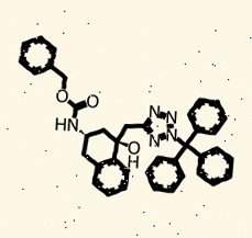 O=C(N[C@H]1Cc2ccccc2[C@@](O)(Cc2nnn(C(c3ccccc3)(c3ccccc3)c3ccccc3)n2)C1)OCc1ccccc1